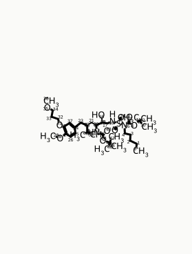 CCCCCN(C(=O)OC(C)(C)C)S(=O)(=O)NC[C@H](O)[C@H](C[C@H](Cc1ccc(OC)c(OCCCOC)c1)C(C)C)NC(=O)OC(C)(C)C